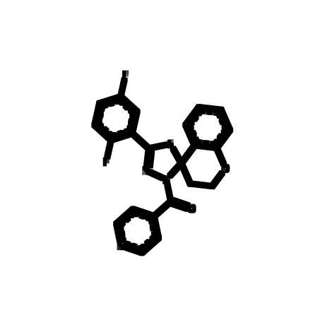 O=C(c1ccncc1)N1N=C(c2cc(F)ccc2F)SC12CCOc1ccccc12